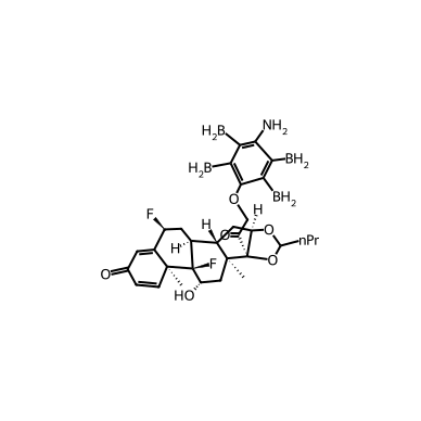 Bc1c(B)c(OCC(=O)[C@@]23OC(CCC)O[C@@H]2C[C@H]2[C@@H]4C[C@H](F)C5=CC(=O)C=C[C@]5(C)[C@@]4(F)[C@@H](O)C[C@@]23C)c(B)c(B)c1N